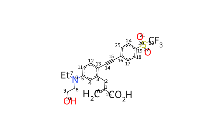 C=C(Cc1cc(N(CC)CCO)ccc1C#Cc1ccc(S(=O)(=O)C(F)(F)F)cc1)C(=O)O